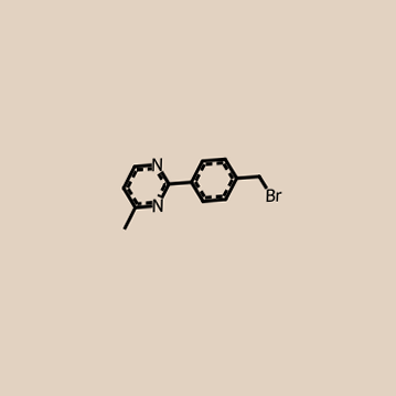 Cc1ccnc(-c2ccc(CBr)cc2)n1